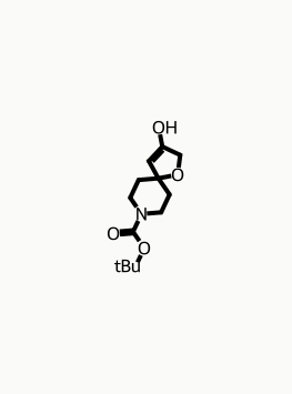 CC(C)(C)OC(=O)N1CCC2(C=C(O)CO2)CC1